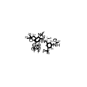 CC[C@@H](Nc1nc(C)nc2c3c(c(OS(=O)(=O)C(F)(F)F)cc12)OC(C)(C)C3)c1cc(NC(C)=O)cc(C(F)F)c1